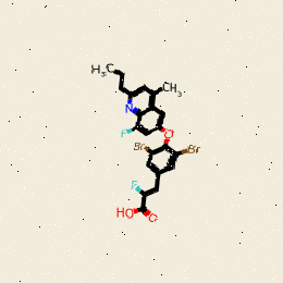 CCCc1cc(C)c2cc(Oc3c(Br)cc(CC(F)C(=O)O)cc3Br)cc(F)c2n1